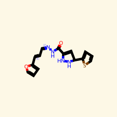 O=C(N/N=C\C=C\c1ccco1)C1=CC(c2cccs2)NN1